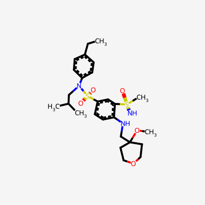 CCc1ccc(N(CC(C)C)S(=O)(=O)c2ccc(NCC3(OC)CCOCC3)c(S(C)(=N)=O)c2)cc1